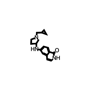 O=c1[nH]ccc2cc(NC3CCN(CC4CC4)C3)ccc12